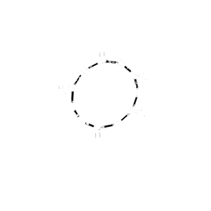 O1O[SiH2]O[SiH2]O[SiH2]O[SiH2]O[SiH2]1